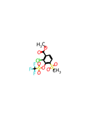 COC(=O)c1ccc(S(C)(=O)=O)c(OS(=O)(=O)C(F)(F)F)c1Cl